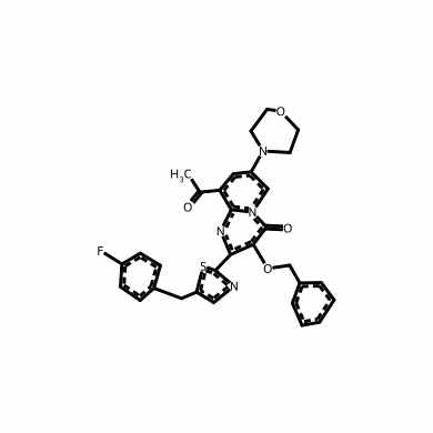 CC(=O)c1cc(N2CCOCC2)cn2c(=O)c(OCc3ccccc3)c(-c3ncc(Cc4ccc(F)cc4)s3)nc12